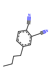 CCCCc1ccc(C#N)c(C#N)c1